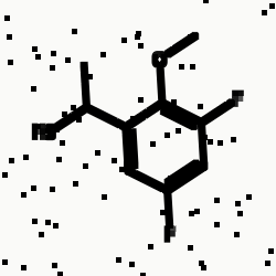 COc1c(F)cc(F)cc1C(C)S